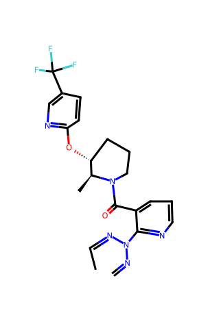 C=NN(/N=C\C)c1ncccc1C(=O)N1CCC[C@@H](Oc2ccc(C(F)(F)F)cn2)[C@@H]1C